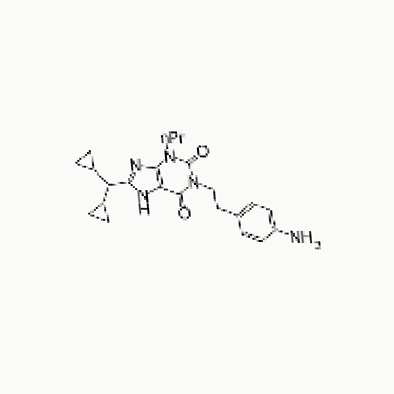 CCCn1c(=O)n(CCc2ccc(N)cc2)c(=O)c2[nH]c(C(C3CC3)C3CC3)nc21